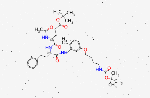 CC(=O)N[C@@H](CCC(=O)OC(C)(C)C)C(=O)N[C@@H](CCc1ccccc1)C(=O)NCc1cc(OCCCCNC(=O)OC(C)(C)C)ccc1C